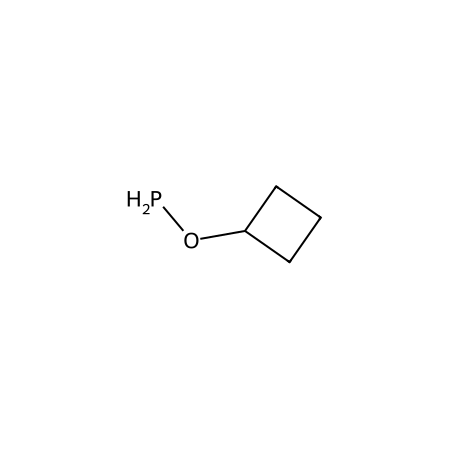 POC1CCC1